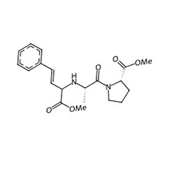 COC(=O)C(/C=C/c1ccccc1)N[C@@H](C)C(=O)N1CCC[C@H]1C(=O)OC